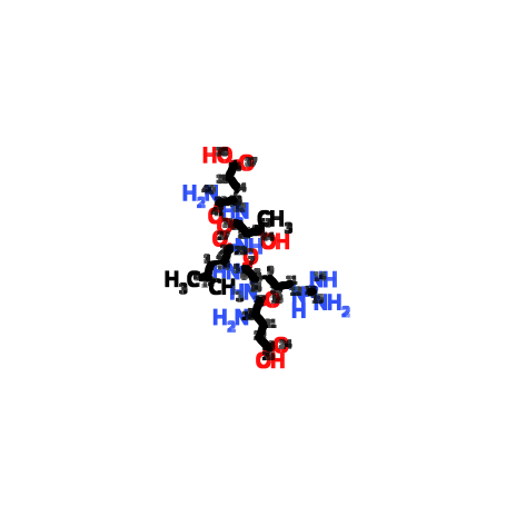 CC(C)C[C@H](NC(=O)[C@H](CCCNC(=N)N)NC(=O)[C@@H](N)CCC(=O)O)C(=O)N[C@H](C(=O)N[C@@H](CCC(=O)O)C(N)=O)[C@@H](C)O